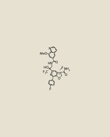 COc1cc(C(=O)NC[C@](O)(c2cc3c(c(-c4ccc(F)cc4)n2)OC[C@]3(CF)C(N)=O)C(F)(F)F)cc2cccnc12